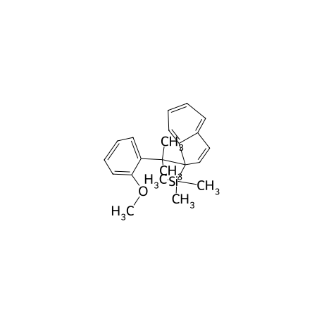 COc1ccccc1C(C)(C)C1([Si](C)(C)C)C=Cc2ccccc21